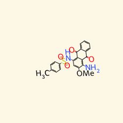 COc1cc(NS(=O)(=O)c2ccc(C)cc2)c2c(c1N)C(=O)c1ccccc1C2=O